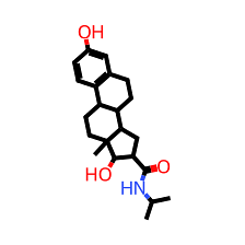 CC(C)NC(=O)C1CC2C3CCc4cc(O)ccc4C3CCC2(C)C1O